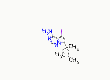 CCCC(C)(CC)c1cc(I)c2c(N)ncnn12